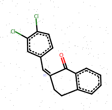 O=C1/C(=C\c2ccc(Cl)c(Cl)c2)CCc2ccccc21